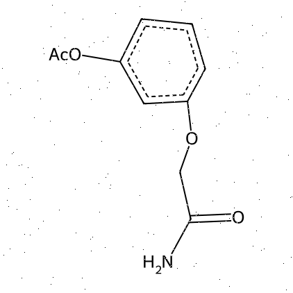 CC(=O)Oc1cccc(OCC(N)=O)c1